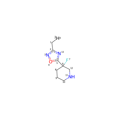 [2H]Cc1noc(C2(F)CCCNC2)n1